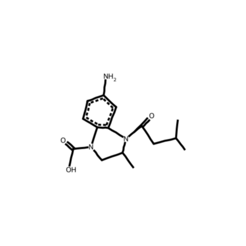 CC(C)CC(=O)N1c2cc(N)ccc2N(C(=O)O)CC1C